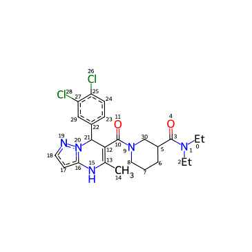 CCN(CC)C(=O)C1CCCN(C(=O)C2=C(C)Nc3ccnn3C2c2ccc(Cl)c(Cl)c2)C1